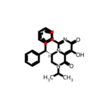 CC(C)N1C[C@H](C(c2ccccc2)c2ccccc2)n2c(-n3cnnc3)nc(=O)c(O)c2C1=O